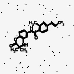 Cc1cc(C=CC(F)(F)F)ccc1C(=O)Nc1ccc2c(c1)NC(C)(C)C(=O)O2